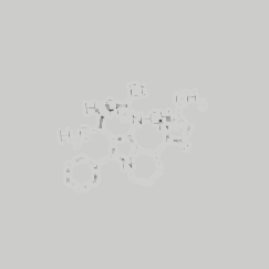 C=C(C)c1c(N(C)C(=C)CC)c2n(c1-c1ccccc1)CCCC2c1nc(C)cs1